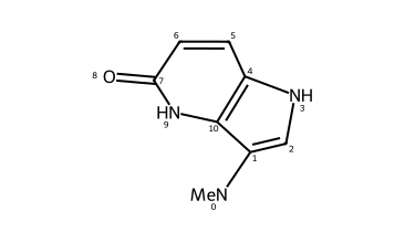 CNc1c[nH]c2ccc(=O)[nH]c12